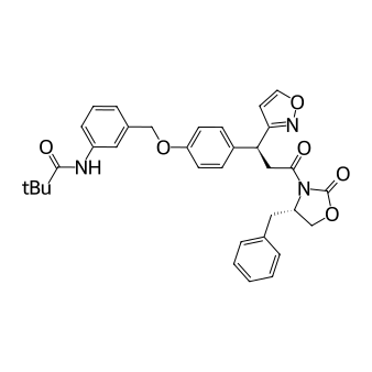 CC(C)(C)C(=O)Nc1cccc(COc2ccc([C@H](CC(=O)N3C(=O)OC[C@@H]3Cc3ccccc3)c3ccon3)cc2)c1